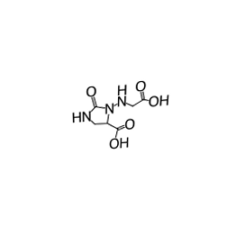 O=C(O)CNN1C(=O)NCC1C(=O)O